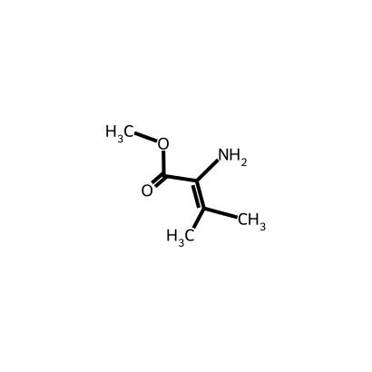 COC(=O)C(N)=C(C)C